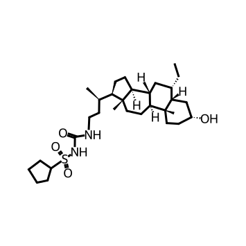 CC[C@H]1C[C@@H]2[C@H](CC[C@]3(C)[C@@H]([C@H](C)CCNC(=O)NS(=O)(=O)C4CCCC4)CC[C@@H]23)[C@@]2(C)CC[C@@H](O)C[C@@H]12